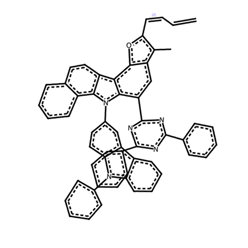 C=C/C=C\c1oc2c(cc(-c3nc(-c4ccccc4)nc(-c4ccccc4)n3)c3c2c2ccc4ccccc4c2n3-c2ccc3c(c2)c2ccccc2n3-c2ccccc2)c1C